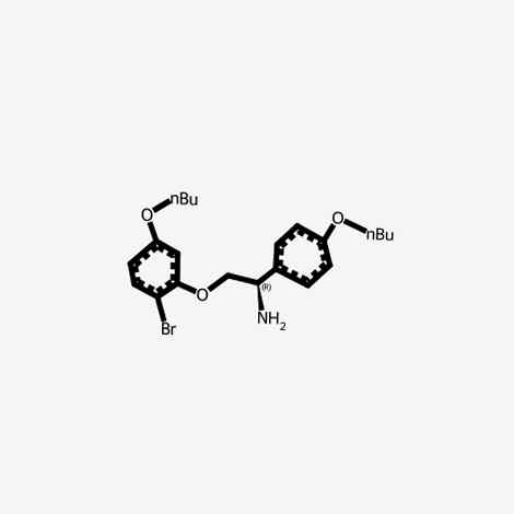 CCCCOc1ccc([C@@H](N)COc2cc(OCCCC)ccc2Br)cc1